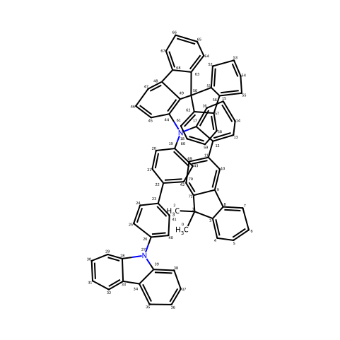 CC1(C)c2ccccc2-c2cc(-c3ccccc3N(c3ccc(-c4ccc(-n5c6ccccc6c6ccccc65)cc4)cc3)c3cccc4c3C3(c5ccccc5-c5ccccc53)c3ccccc3-4)ccc21